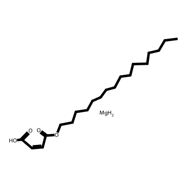 CCCCCCCCCCCCCCCCOC(=O)/C=C\C(=O)O.[MgH2]